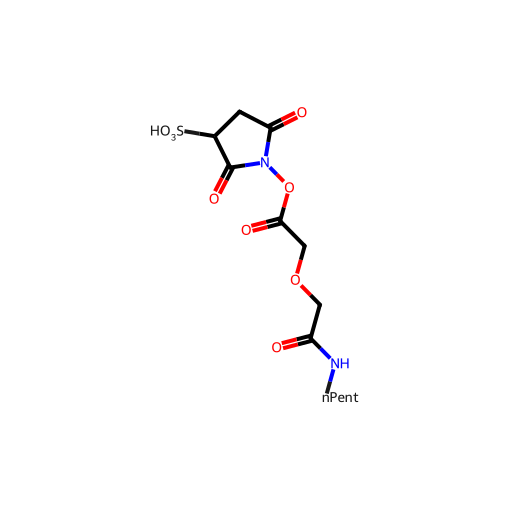 CCCCCNC(=O)COCC(=O)ON1C(=O)CC(S(=O)(=O)O)C1=O